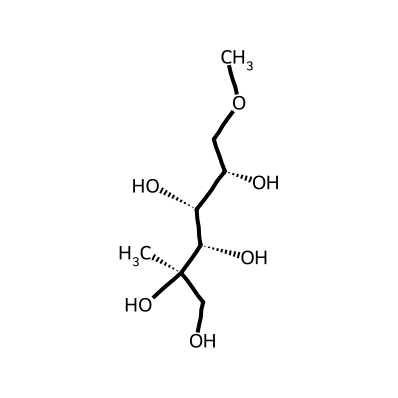 COC[C@H](O)[C@@H](O)[C@H](O)[C@](C)(O)CO